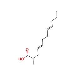 CCC/C=C/CC/C=C/CC(C)C(=O)O